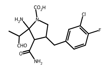 CC(C=O)C1(N)C(C(N)=O)C(Cc2ccc(F)c(Cl)c2)CN1C(=O)O